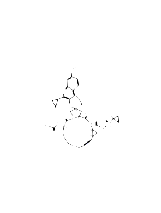 COc1ccc2c3c(c(C4CC4)nc2c1)O[C@]1(CC3)C[C@H]2C(=O)N[C@]3(C(=O)NS(=O)(=O)C4(C)CC4)C[C@H]3/C=C\CCCCC[C@H](NC(=O)O)C(=O)N2C1